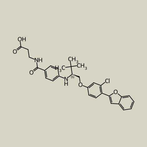 CC(C)(C)[C@@H](COc1ccc(-c2cc3ccccc3o2)c(Cl)c1)Nc1ccc(C(=O)NCCC(=O)O)cc1